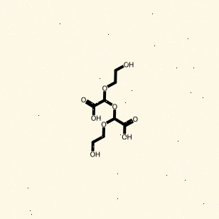 O=C(O)C(OCCO)OC(OCCO)C(=O)O